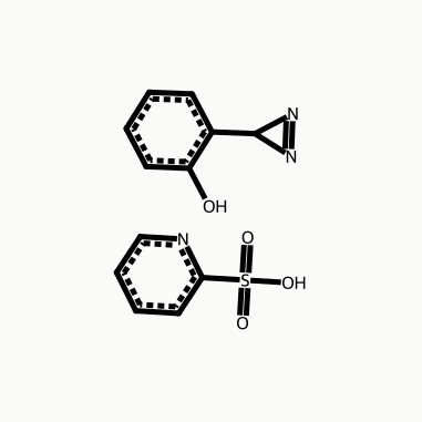 O=S(=O)(O)c1ccccn1.Oc1ccccc1C1N=N1